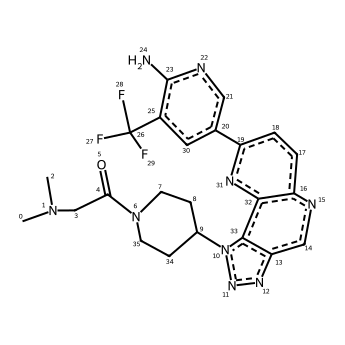 CN(C)CC(=O)N1CCC(n2nnc3cnc4ccc(-c5cnc(N)c(C(F)(F)F)c5)nc4c32)CC1